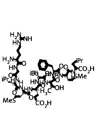 CC[C@H](C)[C@H](NC(=O)[C@H](CCC(=O)O)NC(=O)[C@H](CCSC)NC(=O)[C@H](CC(C)C)NC(=O)CNC(=O)[C@@H](N)CCCNC(=N)N)C(=O)N[C@H](C(=O)N[C@@H](Cc1ccccc1)C(=O)N[C@@H](CCSC)C(=O)N[C@@H](CC(C)C)C(=O)O)[C@@H](C)O